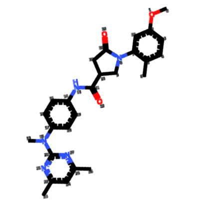 COc1ccc(C)c(N2CC(C(=O)Nc3ccc(N(C)c4nc(C)cc(C)n4)cc3)CC2=O)c1